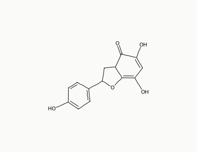 O=C1C(O)=CC(O)=C2OC(c3ccc(O)cc3)CC12